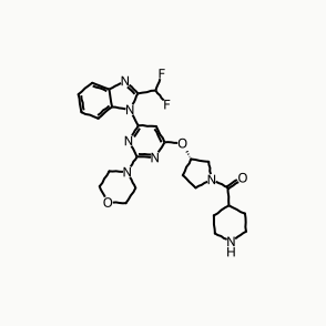 O=C(C1CCNCC1)N1CC[C@H](Oc2cc(-n3c(C(F)F)nc4ccccc43)nc(N3CCOCC3)n2)C1